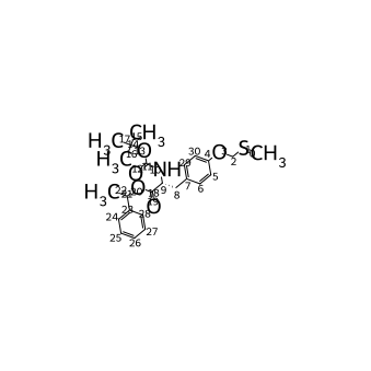 CSCOc1ccc(C[C@@H](NC(=O)OC(C)(C)C)C(=O)OC(C)c2ccccc2)cc1